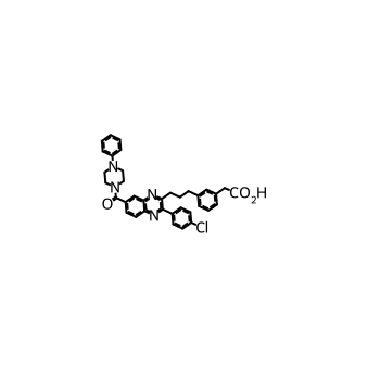 O=C(O)Cc1cccc(CCCc2nc3cc(C(=O)N4CCN(c5ccccc5)CC4)ccc3nc2-c2ccc(Cl)cc2)c1